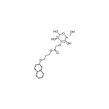 O=C(CO[C@H]1[C@H](O)[C@@H](CO)OC(O)[C@@H]1O)OCCCOc1ccc2ccccc2c1